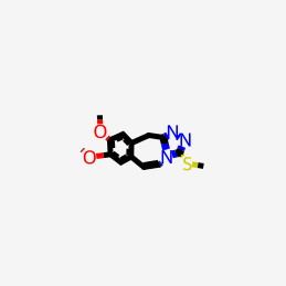 COc1cc2c(cc1OC)Cc1nnc(SC)n1C=C2